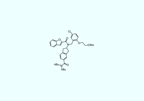 CCCCN(CCCC)C(=O)c1ccc2c(c1)CC(N(Cc1cc(Cl)ccc1OCCOC)C(=O)c1cc3ccccc3o1)C2